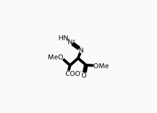 COC(=O)C(N=[N+]=N)C(OC)C(=O)[O-]